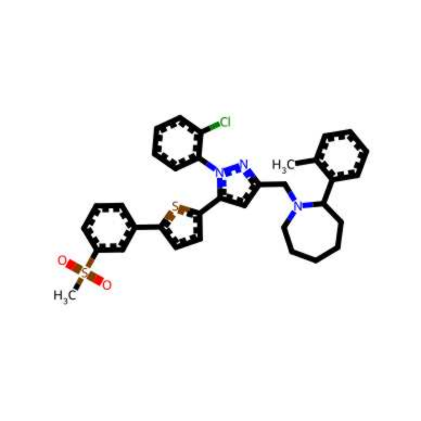 Cc1ccccc1C1CCCCCN1Cc1cc(-c2ccc(-c3cccc(S(C)(=O)=O)c3)s2)n(-c2ccccc2Cl)n1